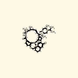 CO[C@]1(CN2CCN(C(C)C)[C@@H](C)C2)/C=C/C[C@H](C)[C@@H](C)S(=O)(=O)NC(=O)c2ccc3c(c2)N(C[C@@H]2CC[C@H]21)C[C@@]1(CCCc2cc(Cl)ccc21)CO3